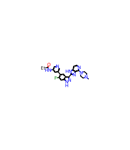 CCC(=O)Nc1cncc(-c2cc3c(-c4nc5c(N6CCN(C)CC6)nccc5[nH]4)n[nH]c3cc2F)c1